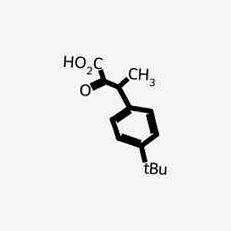 CC(C(=O)C(=O)O)c1ccc(C(C)(C)C)cc1